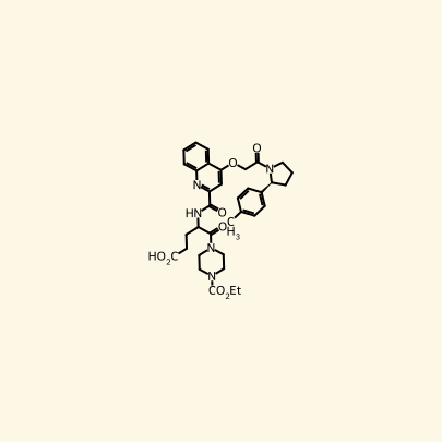 CCOC(=O)N1CCN(C(=O)C(CCC(=O)O)NC(=O)c2cc(OCC(=O)N3CCC[C@H]3c3ccc(C)cc3)c3ccccc3n2)CC1